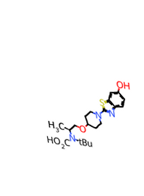 C[C@@H](COC1CCN(c2nc3ccc(O)cc3s2)CC1)N(C(=O)O)C(C)(C)C